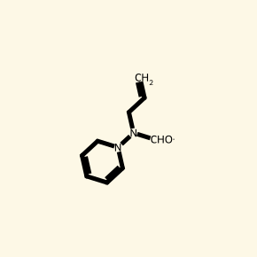 C=CCN([C]=O)N1C=CC=CC1